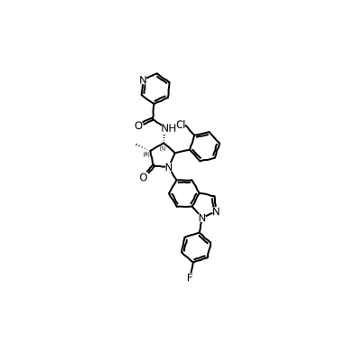 C[C@H]1C(=O)N(c2ccc3c(cnn3-c3ccc(F)cc3)c2)C(c2ccccc2Cl)[C@H]1NC(=O)c1cccnc1